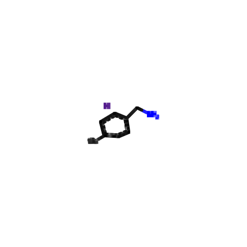 CC(C)(C)c1ccc(CN)cc1.I